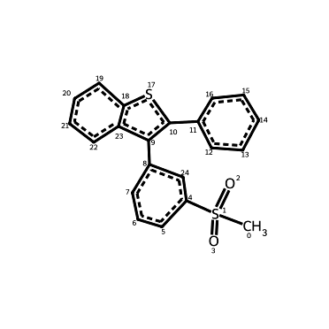 CS(=O)(=O)c1cccc(-c2c(-c3ccccc3)sc3ccccc23)c1